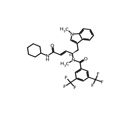 CN(C(=O)c1cc(C(F)(F)F)cc(C(F)(F)F)c1)[C@@H](C=CC(=O)NC1CCCCC1)Cc1cn(C)c2ccccc12